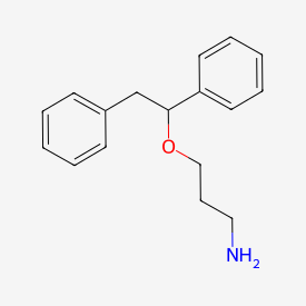 NCCCOC(Cc1ccccc1)c1ccccc1